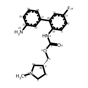 CN1CC[C@@H](COC(=O)Nc2ccc(F)cc2-c2cccc(N)c2)C1